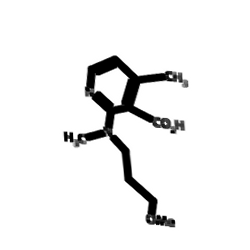 COCCCN(C)c1nccc(C)c1C(=O)O